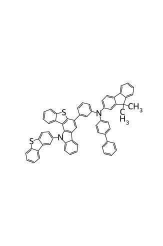 CC1(C)c2ccccc2-c2ccc(N(c3ccc(-c4ccccc4)cc3)c3cccc(-c4cc5c6ccccc6n(-c6ccc7sc8ccccc8c7c6)c5c5c4sc4ccccc45)c3)cc21